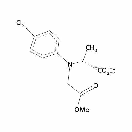 CCOC(=O)[C@@H](C)N(CC(=O)OC)c1ccc(Cl)cc1